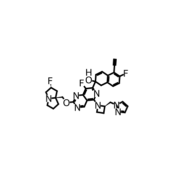 C#Cc1c(F)ccc2c1C=CC(O)(c1nc(N3CC[C@@H]3Cn3cccn3)c3cnc(OC[C@@]45CCCN4C[C@H](F)C5)nc3c1F)C2